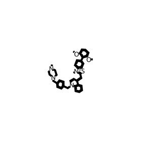 COc1cccc(OC)c1-c1ccc2c(c1)sc(C=C1C=CN(Cc3ccc(CN4CCN(C)CC4)cc3)c3ccccc31)[n+]2C